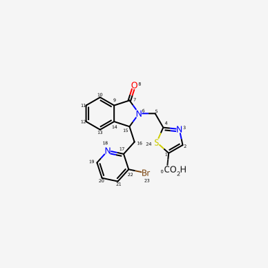 O=C(O)c1cnc(CN2C(=O)c3ccccc3C2Cc2ncccc2Br)s1